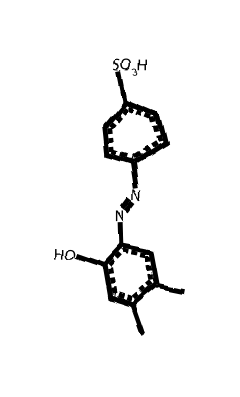 Cc1cc(O)c(N=Nc2ccc(S(=O)(=O)O)cc2)cc1C